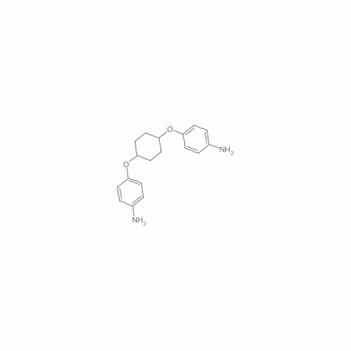 Nc1ccc(OC2CCC(Oc3ccc(N)cc3)CC2)cc1